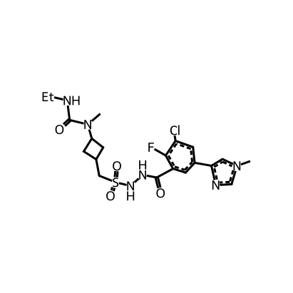 CCNC(=O)N(C)C1CC(CS(=O)(=O)NNC(=O)c2cc(-c3cn(C)cn3)cc(Cl)c2F)C1